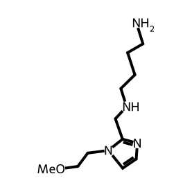 COCCn1ccnc1CNCCCCN